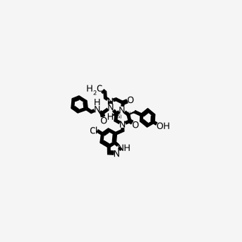 C=CCN1CC(=O)N2[C@@H](Cc3ccc(O)cc3)C(=O)N(Cc3cc(Cl)cc4cn[nH]c34)C[C@@H]2N1C(=O)NCc1ccccc1